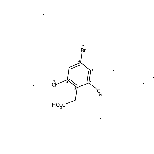 O=C(O)Cc1c(Cl)cc(Br)cc1Cl